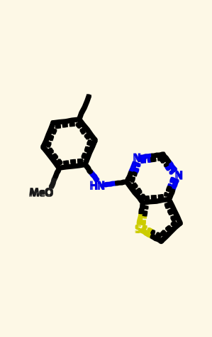 COc1ccc(C)cc1Nc1ncnc2ccsc12